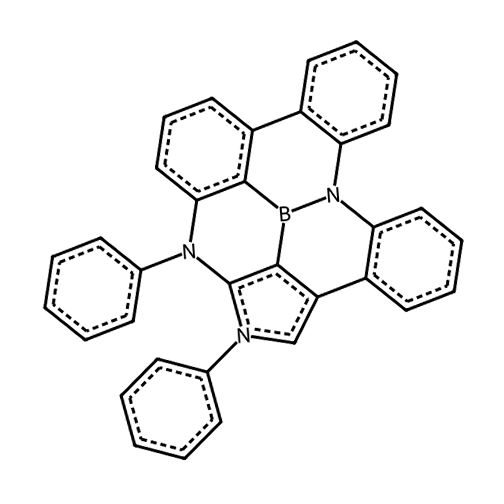 c1ccc(N2c3cccc4c3B3c5c(cn(-c6ccccc6)c52)-c2ccccc2N3c2ccccc2-4)cc1